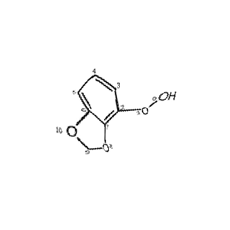 OOc1cccc2c1OCO2